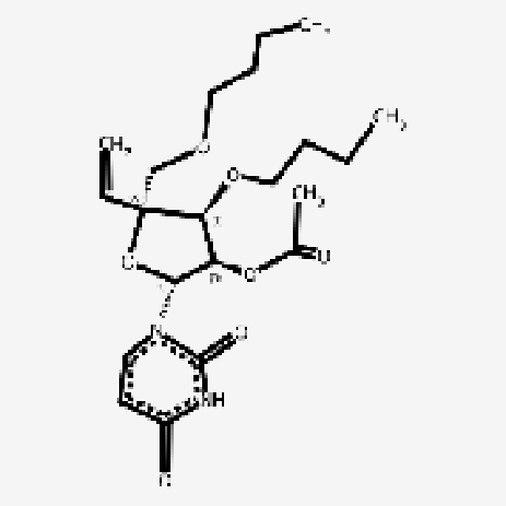 C=C[C@]1(COCCCC)O[C@@H](n2ccc(=O)[nH]c2=O)[C@H](OC(C)=O)[C@@H]1OCCCC